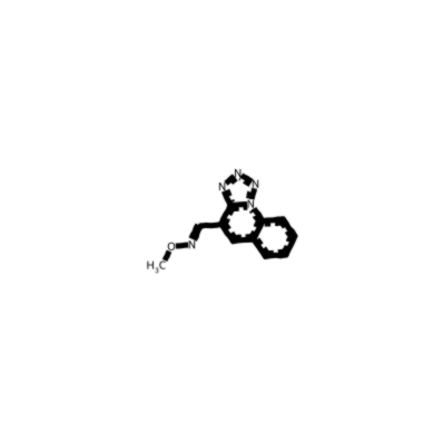 CON=Cc1cc2ccccc2n2nnnc12